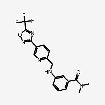 CN(C)C(=O)c1cccc(NCc2ccc(-c3noc(C(F)(F)F)n3)cn2)c1